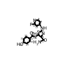 NC(=O)c1nc(Nc2ccnc(F)c2)sc1NC(=O)c1ccc(O)cc1